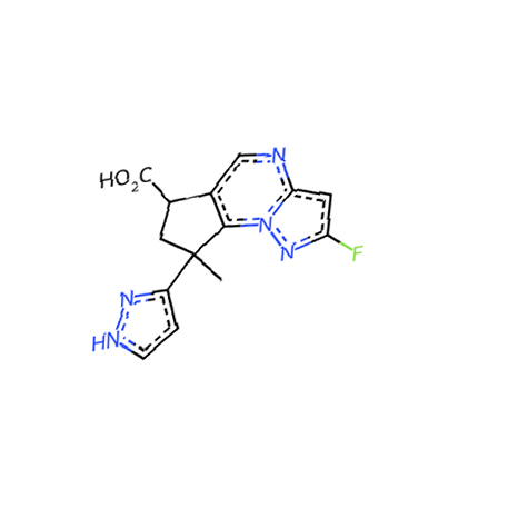 CC1(c2cc[nH]n2)CC(C(=O)O)c2cnc3cc(F)nn3c21